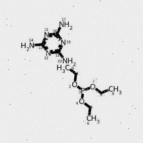 CCOP(OCC)OCC.Nc1nc(N)nc(N)n1